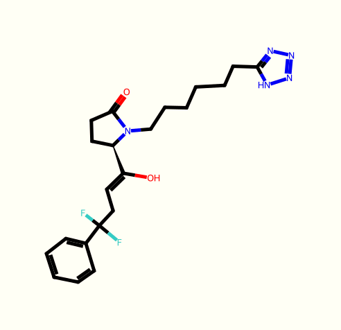 O=C1CC[C@H](C(O)=CCC(F)(F)c2ccccc2)N1CCCCCCc1nnn[nH]1